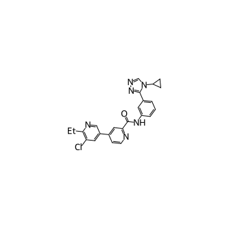 CCc1ncc(-c2ccnc(C(=O)Nc3cccc(-c4nncn4C4CC4)c3)c2)cc1Cl